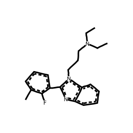 CCN(CC)CCCn1c(-c2cccc(C)c2F)nc2ccccc21